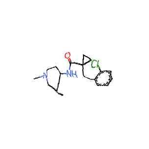 CC1CN(C)CCC1NC(=O)C1(Cc2ccccc2Cl)CC1